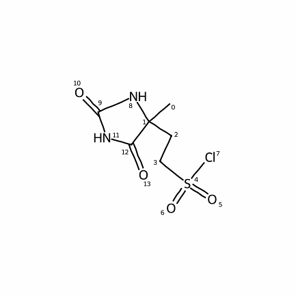 CC1(CCS(=O)(=O)Cl)NC(=O)NC1=O